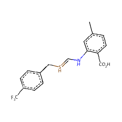 Cc1ccc(C(=O)O)c(NC=[SH]Cc2ccc(C(F)(F)F)cc2)c1